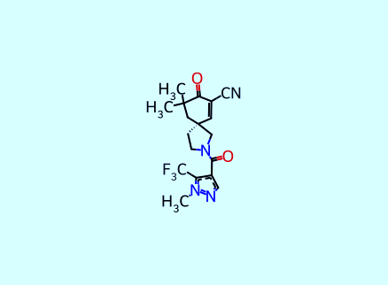 Cn1ncc(C(=O)N2CC[C@]3(C=C(C#N)C(=O)C(C)(C)C3)C2)c1C(F)(F)F